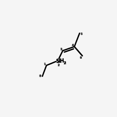 CC[SiH2]C=C(C)C